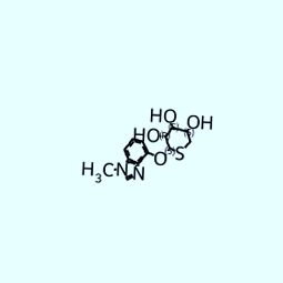 Cn1cnc2c(O[C@H]3SC[C@@H](O)[C@H](O)[C@H]3O)cccc21